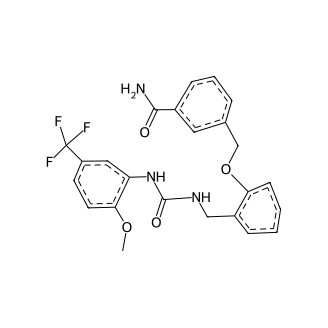 COc1ccc(C(F)(F)F)cc1NC(=O)NCc1ccccc1OCc1cccc(C(N)=O)c1